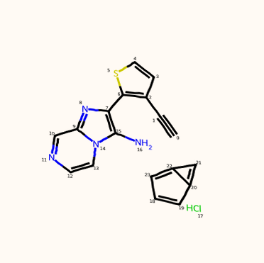 C#Cc1ccsc1-c1nc2cnccn2c1N.Cl.c1cc2cc-2c1